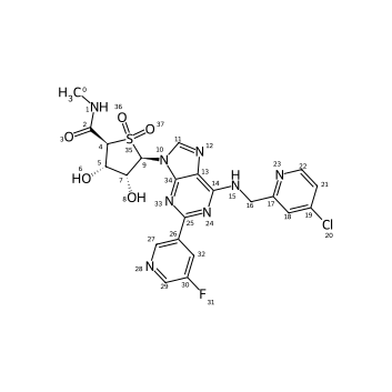 CNC(=O)[C@@H]1[C@@H](O)[C@@H](O)[C@H](n2cnc3c(NCc4cc(Cl)ccn4)nc(-c4cncc(F)c4)nc32)S1(=O)=O